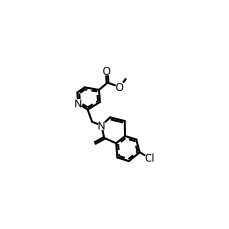 C=C1c2ccc(Cl)cc2C=CN1Cc1cc(C(=O)OC)ccn1